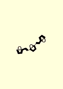 C(=C[C@@H]1CC[C@H](C=Cc2ccco2)O1)c1ccco1